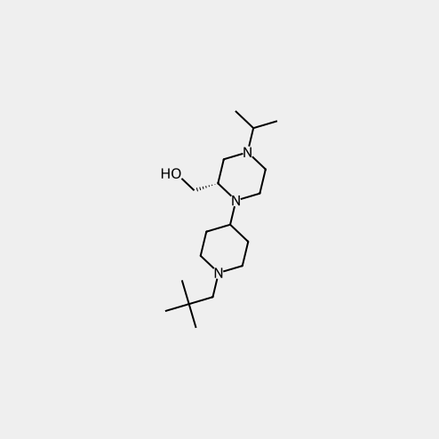 CC(C)N1CCN(C2CCN(CC(C)(C)C)CC2)[C@H](CO)C1